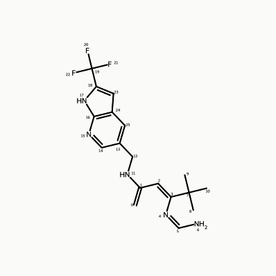 C=C(/C=C(\N=C/N)C(C)(C)C)NCc1cnc2[nH]c(C(F)(F)F)cc2c1